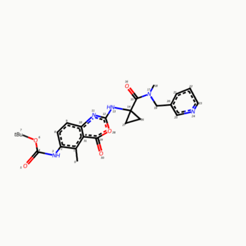 Cc1c(NC(=O)OC(C)(C)C)ccc2nc(NC3(C(=O)N(C)Cc4cccnc4)CC3)oc(=O)c12